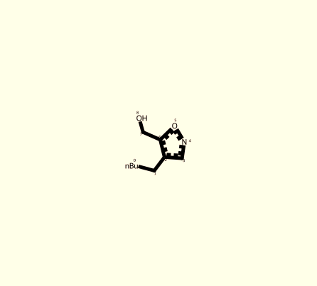 CCCCCc1cnoc1CO